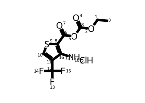 CCOC(=O)OC(=O)c1scc(C(F)(F)F)c1N.Cl